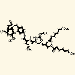 CCCCCCCCCCCCCCCC(=O)OCC(CSC[C@H](NC(=O)OC(C)(C)C)C(=O)N[C@@H](COC(C)(C)C)C(=O)Nc1ccc(Cn2c(O)nc3c(N)nc(NCCCC)cc32)cc1)OC(=O)CCCCCCCCCCCCCCC